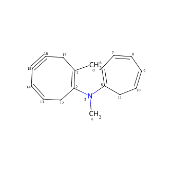 C/C1=C(\N(C)C2=CC=CC=CC2)CC=CC#CC1